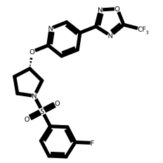 O=S(=O)(c1cccc(F)c1)N1CC[C@H](Oc2ccc(-c3noc(C(F)(F)F)n3)cn2)C1